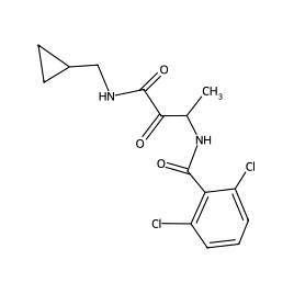 CC(NC(=O)c1c(Cl)cccc1Cl)C(=O)C(=O)NCC1CC1